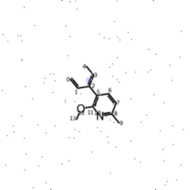 C=C/C(=C\C)c1ccc(C)nc1OC